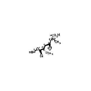 CCCCOC(=O)[C@@H](C)CC(=O)O[C@@H](C)C(=O)O